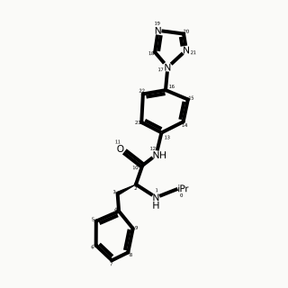 CC(C)N[C@@H](Cc1ccccc1)C(=O)Nc1ccc(-n2cncn2)cc1